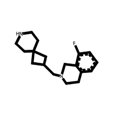 Fc1cccc2c1CN(CC1CC3(CCNCC3)C1)CC2